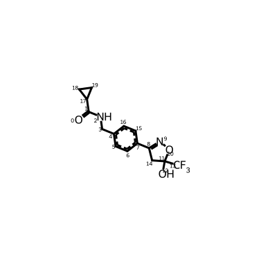 O=C(NCc1ccc(C2=NOC(O)(C(F)(F)F)C2)cc1)C1CC1